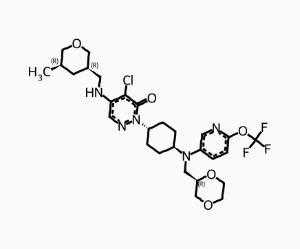 C[C@H]1COC[C@@H](CNc2cnn([C@H]3CC[C@H](N(C[C@@H]4COCCO4)c4ccc(OC(F)(F)F)nc4)CC3)c(=O)c2Cl)C1